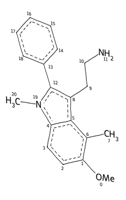 COc1ccc2c(c1C)c(CCN)c(-c1ccccc1)n2C